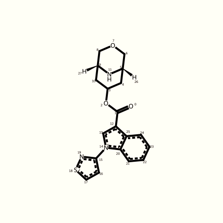 O=C(OC1C[C@H]2COC[C@@H](C1)N2)c1cn(-c2ccsn2)c2ccccc12